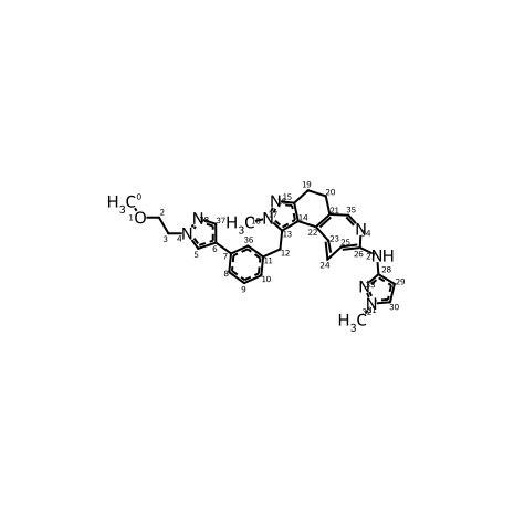 COCCn1cc(-c2cccc(Cc3c4c(nn3C)CCC3=C4/C=C/C=C(Nc4ccn(C)n4)/N=C\3)c2)cn1